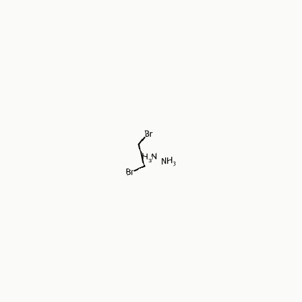 BrCCBr.N.N